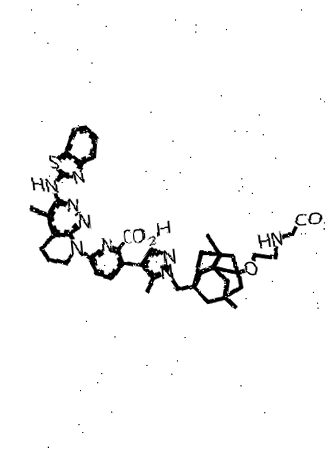 Cc1c(Nc2nc3ccccc3s2)nnc2c1CCCN2c1ccc(-c2cnn(CC34CC5(C)CC6(OCCNCC(=O)O)CC(C)(C3)C6(C5)C4)c2C)c(C(=O)O)n1